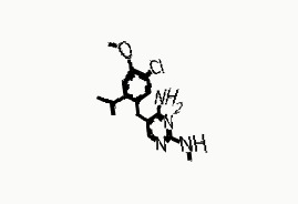 CNc1ncc(Cc2cc(Cl)c(OC)cc2C(C)C)c(N)n1